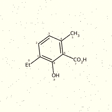 CCc1ccc(C)c(C(=O)O)c1O